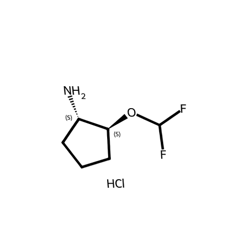 Cl.N[C@H]1CCC[C@@H]1OC(F)F